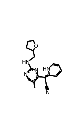 Cc1cnc(NCC2CCCO2)nc1/C(C#N)=C1/C=CC=CN1